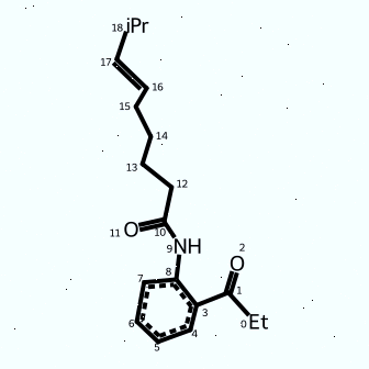 CCC(=O)c1ccccc1NC(=O)CCCC/C=C/C(C)C